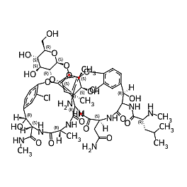 CNC(=O)[C@H]1NC(=O)[C@@H](C)NC(=O)[C@@H]2NC(=O)[C@H](CC(N)=O)NC(=O)C(NC(=O)[C@@H](CC(C)C)NC)[C@H](O)c3ccc(c(Cl)c3)Oc3cc2cc(c3O[C@@H]2O[C@H](CO)[C@@H](O)[C@H](O)[C@H]2O[C@H]2C[C@](C)(N)[C@H](O)[C@H](C)O2)Oc2ccc(cc2Cl)[C@H]1O